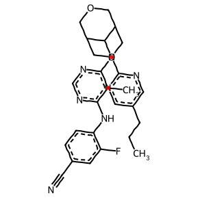 CCCc1cnc(N2CC3COCC(C2)C3Oc2ncnc(Nc3ccc(C#N)cc3F)c2C)nc1